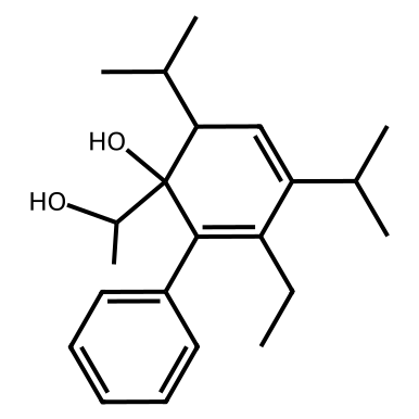 CCC1=C(c2ccccc2)C(O)(C(C)O)C(C(C)C)C=C1C(C)C